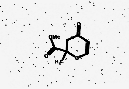 COC(=O)C1(C)CC(=O)C=CO1